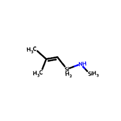 CC(C)=C[SiH2]N[SiH3]